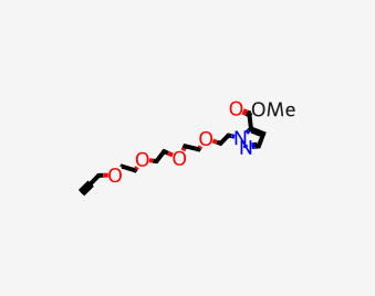 C#CCOCCOCCOCCOCCn1nccc1C(=O)OC